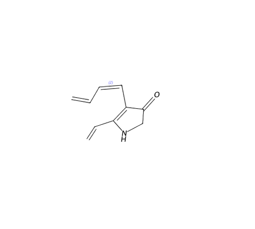 C=C/C=C\C1=C(C=C)NCC1=O